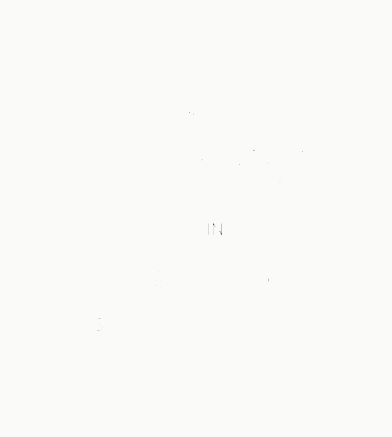 CSc1ccc(C(=O)NCC23CC4CC(CC(C4)C2)C3)s1